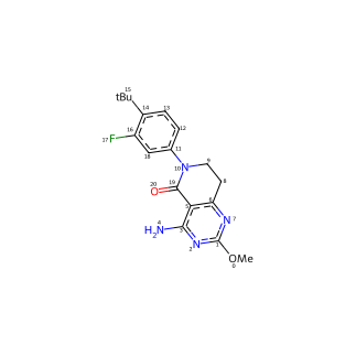 COc1nc(N)c2c(n1)CCN(c1ccc(C(C)(C)C)c(F)c1)C2=O